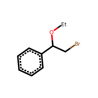 CCOC(CBr)c1ccccc1